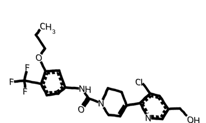 CCCOc1cc(NC(=O)N2CC=C(c3ncc(CO)cc3Cl)CC2)ccc1C(F)(F)F